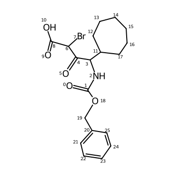 O=C(NC(C(=O)C(Br)C(=O)O)C1CCCCCC1)OCc1ccccc1